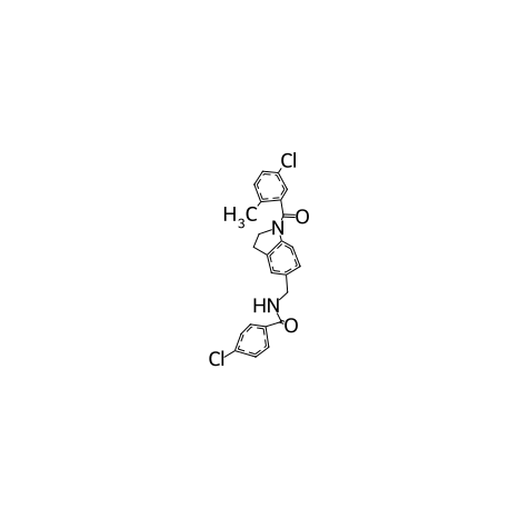 Cc1ccc(Cl)cc1C(=O)N1CCc2cc(CNC(=O)c3ccc(Cl)cc3)ccc21